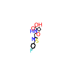 O=C(Cc1csc(-c2ccc(F)cc2)n1)NC1(C(=O)O)CCC1